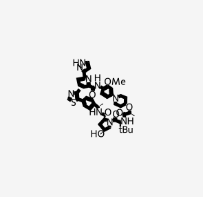 COc1cc(N2CCC(O[C@H](C)C(=O)N[C@H](C(=O)N3C[C@H](O)C[C@H]3C(=O)N[C@@H](C)c3ccc(-c4scnc4C)cc3)C(C)(C)C)CC2)ccc1NC(=O)c1cccc(-c2cc[nH]n2)n1